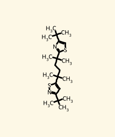 CC(C)(C)c1cc(C(C)(C)CCC(C)(C)c2nc(C(C)(C)C)cs2)sn1